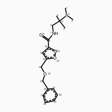 CN(C)C(C)(C)CNC(=O)c1cc(COCc2ccccc2)on1